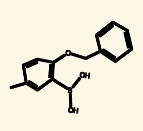 Cc1ccc(OCc2ccccc2)c(B(O)O)c1